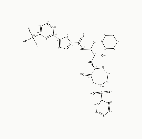 O=C(NC(CC1CCCCC1)C(=O)N[C@H]1CCCN(S(=O)(=O)c2ccccn2)CC1=O)c1ccc(-c2cccc(C(F)(F)F)c2)o1